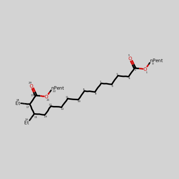 CCCCCOC(=O)CCCCCCCCCCCC(CC)C(CC)C(=O)OCCCCC